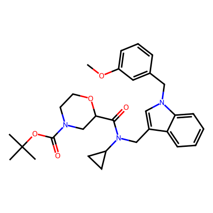 COc1cccc(Cn2cc(CN(C(=O)C3CN(C(=O)OC(C)(C)C)CCO3)C3CC3)c3ccccc32)c1